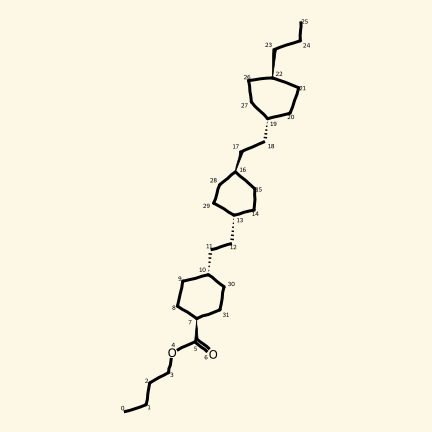 CCCCOC(=O)[C@H]1CC[C@H](CC[C@H]2CC[C@H](CC[C@H]3CC[C@H](CCC)CC3)CC2)CC1